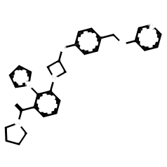 O=C(c1cccc(N2CC(Oc3ccc(COc4cccnc4)cc3)C2)c1-n1cccc1)N1CCCC1